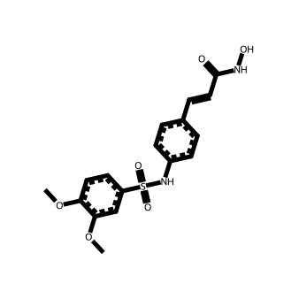 COc1ccc(S(=O)(=O)Nc2ccc(C=CC(=O)NO)cc2)cc1OC